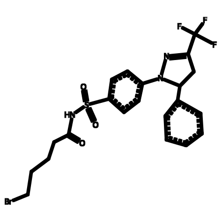 O=C(CCCCBr)NS(=O)(=O)c1ccc(N2N=C(C(F)(F)F)CC2c2ccccc2)cc1